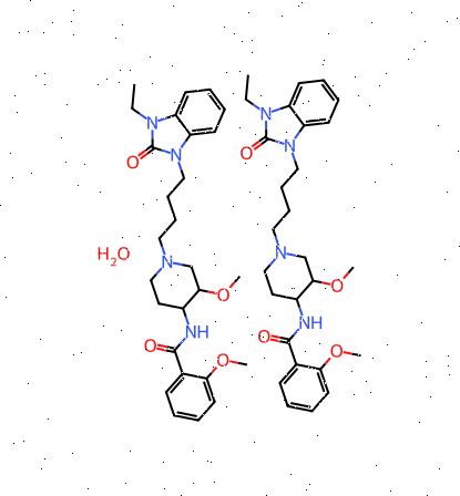 CCn1c(=O)n(CCCCN2CCC(NC(=O)c3ccccc3OC)C(OC)C2)c2ccccc21.CCn1c(=O)n(CCCCN2CCC(NC(=O)c3ccccc3OC)C(OC)C2)c2ccccc21.O